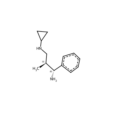 C[C@@H](CNC1CC1)[C@@H](N)c1ccccc1